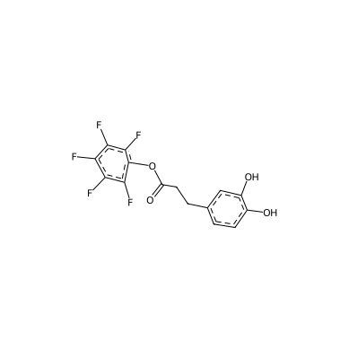 O=C(CCc1ccc(O)c(O)c1)Oc1c(F)c(F)c(F)c(F)c1F